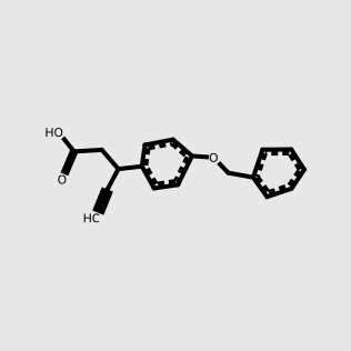 C#CC(CC(=O)O)c1ccc(OCc2ccccc2)cc1